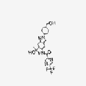 CC(C)(O)c1cc2nn([C@H]3CC[C@H](CO)CC3)cc2cc1NC(=O)c1cnc(C(F)(F)F)cn1